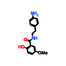 COc1ccc(O)c(C(=O)NCCc2ccc(N)cc2)c1